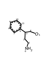 NCCC(C[O])c1ccccc1